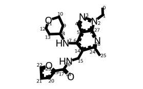 CCn1ncc2c(NC3CCOCC3)c(CNC(=O)c3ccco3)c(C)nc21